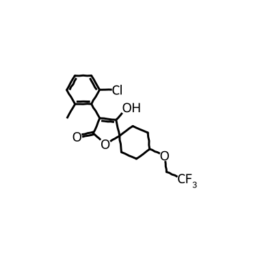 Cc1cccc(Cl)c1C1=C(O)C2(CCC(OCC(F)(F)F)CC2)OC1=O